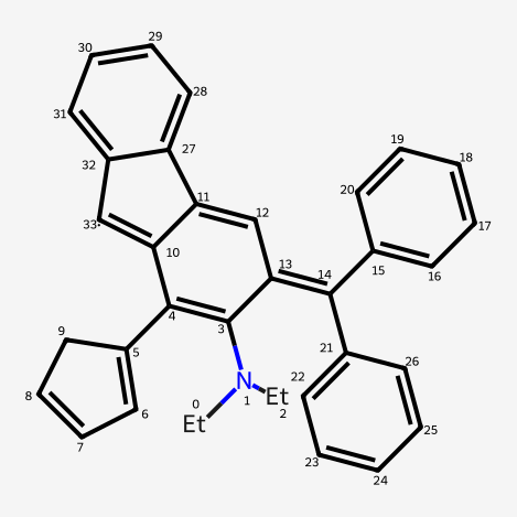 CCN(CC)c1c(C2=CC=CC2)c2c(cc1=C(c1ccccc1)c1ccccc1)-c1ccccc1[C]=2